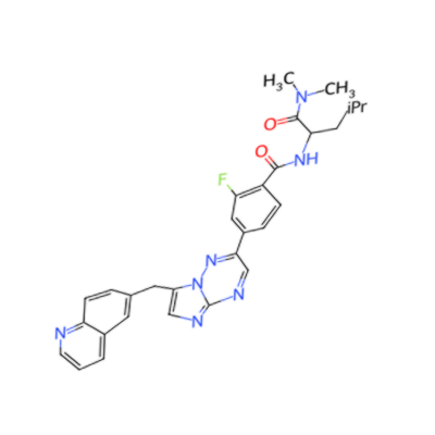 CC(C)CC(NC(=O)c1ccc(-c2cnc3ncc(Cc4ccc5ncccc5c4)n3n2)cc1F)C(=O)N(C)C